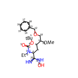 CCN(C(=O)OC(C)(C)C)C(CCC(COCc1ccccc1)OC)C(=N)NO